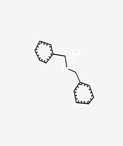 Br.Br.c1ccc([CH2][Zr][CH2]c2ccccc2)cc1